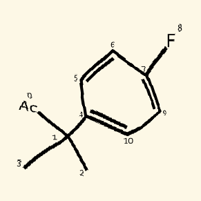 CC(=O)C(C)(C)c1ccc(F)cc1